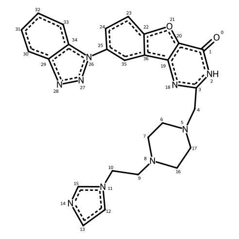 O=c1[nH]c(CN2CCN(CCn3ccnc3)CC2)nc2c1oc1ccc(-n3nnc4ccccc43)cc12